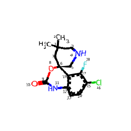 CC1(C)CNC[C@]2(C1)OC(=O)Nc1ccc(Cl)c(F)c12